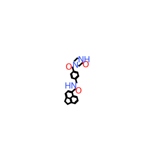 O=C1CN(C(=O)c2ccc(CNC(=O)c3ccc4c5c(cccc35)CC4)cc2)CCN1